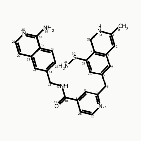 CC1=Cc2cc(Cc3cc(C(=O)NCc4ccc5c(N)nccc5c4)ccn3)cc(SN)c2CN1